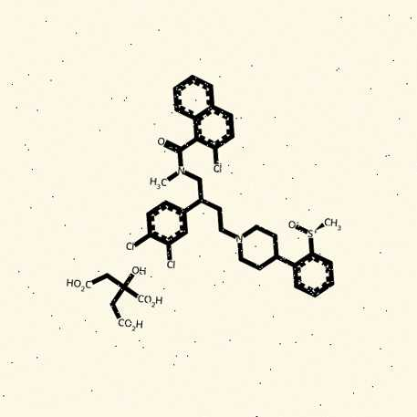 CN(CC(CCN1CCC(c2ccccc2[S@+](C)[O-])CC1)c1ccc(Cl)c(Cl)c1)C(=O)c1c(Cl)ccc2ccccc12.O=C(O)CC(O)(CC(=O)O)C(=O)O